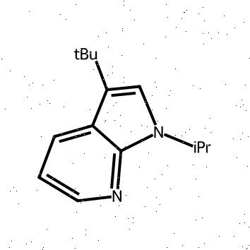 CC(C)n1cc(C(C)(C)C)c2cccnc21